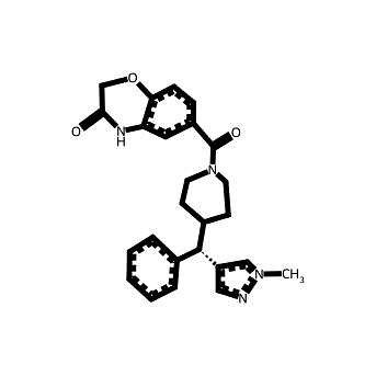 Cn1cc([C@H](c2ccccc2)C2CCN(C(=O)c3ccc4c(c3)NC(=O)CO4)CC2)cn1